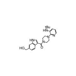 CC(C)(C)Nc1cccnc1N1CCN(C(=O)c2c[nH]c3cc(CO)ccc23)CC1